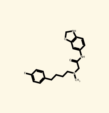 CN(CCCCc1ccc(F)cc1)CC(=O)Nc1ccc2c(c1)OCN2